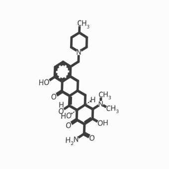 CC1CCN(Cc2ccc(O)c3c2CC2C[C@H]4C(N(C)C)C(O)=C(C(N)=O)C(=O)[C@@]4(O)C(O)=C2C3=O)CC1